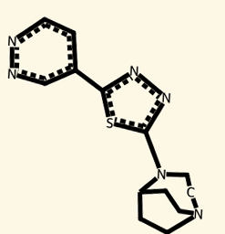 c1cc(-c2nnc(N3CCN4CCC3CC4)s2)cnn1